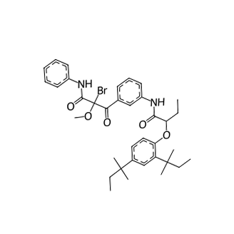 CCC(Oc1ccc(C(C)(C)CC)cc1C(C)(C)CC)C(=O)Nc1cccc(C(=O)C(Br)(OC)C(=O)Nc2ccccc2)c1